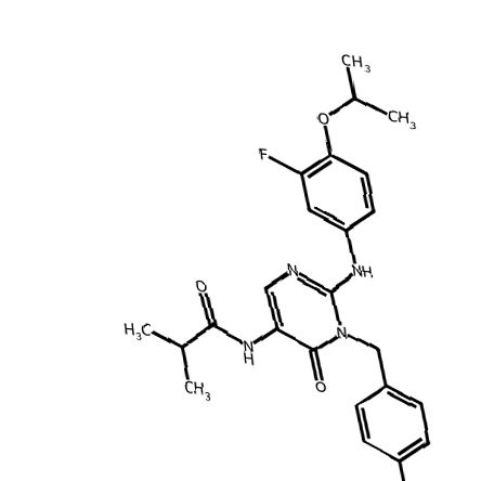 CC(C)Oc1ccc(Nc2ncc(NC(=O)C(C)C)c(=O)n2Cc2ccc(Cl)cc2)cc1F